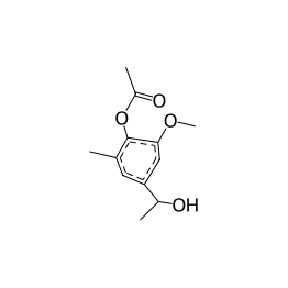 COc1cc(C(C)O)cc(C)c1OC(C)=O